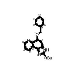 CC(C)(C)c1nc2c(cc(OCc3ccccc3)c3ncccc32)[nH]1